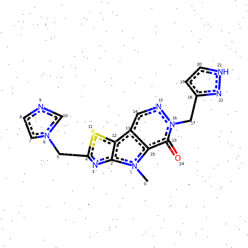 Cn1c2nc(Cn3ccnc3)sc2c2cnn(Cc3cc[nH]n3)c(=O)c21